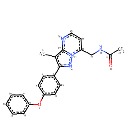 N#Cc1c(-c2ccc(Oc3ccccc3)cc2)nn2c(CNC(=O)C(F)(F)F)ccnc12